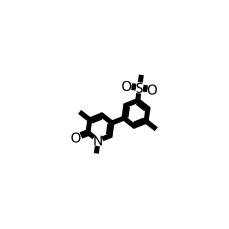 Cc1cc(-c2cc(C)c(=O)n(C)c2)cc(S(C)(=O)=O)c1